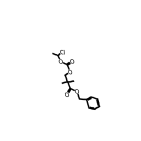 CC(Cl)OC(=O)OCC(C)(C)C(=O)OCc1ccccc1